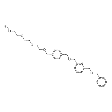 CCOCCOCCOCCOCc1ccc(COCc2cccc(COCc3ccccc3)n2)cc1